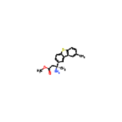 COC(=O)C[C@](C)(N)c1ccc2sc3ccc(C)cc3c2c1